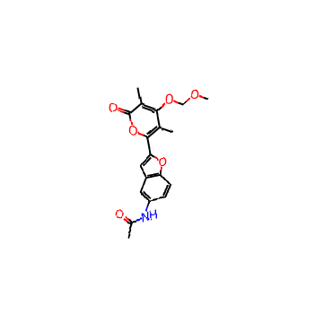 COCOc1c(C)c(-c2cc3cc(NC(C)=O)ccc3o2)oc(=O)c1C